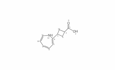 O=C(O)C1CC(C2=CC=CC=CN2)C1